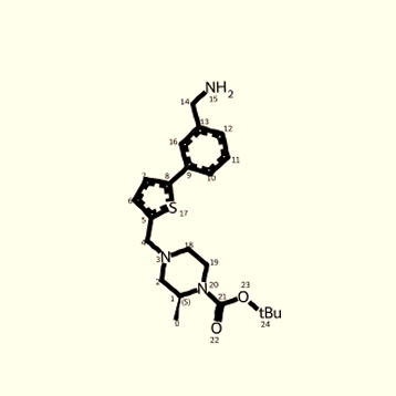 C[C@H]1CN(Cc2ccc(-c3cccc(CN)c3)s2)CCN1C(=O)OC(C)(C)C